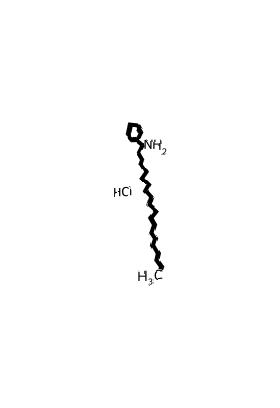 CCCCCCCCCCCCCCCCCCCC(N)c1ccccc1.Cl